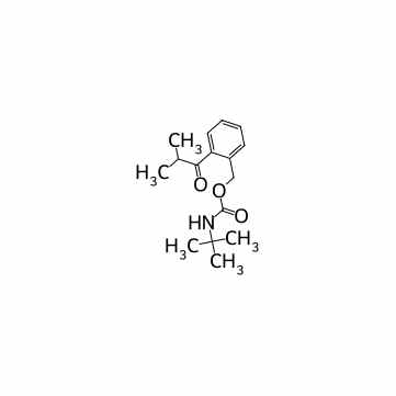 CC(C)C(=O)c1ccccc1COC(=O)NC(C)(C)C